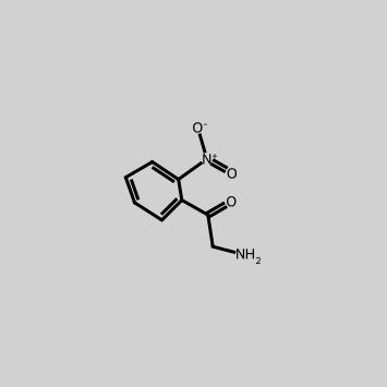 NCC(=O)c1ccccc1[N+](=O)[O-]